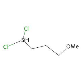 COCCC[SiH](Cl)Cl